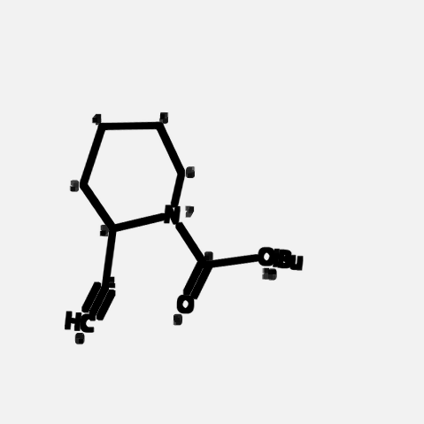 C#CC1CCCCN1C(=O)OCC(C)C